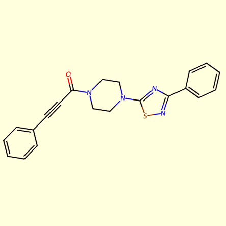 O=C(C#Cc1ccccc1)N1CCN(c2nc(-c3ccccc3)ns2)CC1